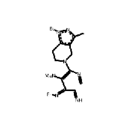 C=N/C(=C(NC)\C(C=N)=N/CC)N1CCc2c(c(C)nn2CC)C1